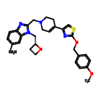 O=C(O)c1ccc2nc(CN3CC=C(c4csc(OCc5ccc(OC(F)(F)F)cc5)n4)CC3)n(CC3CCO3)c2c1